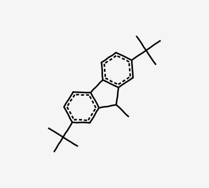 CC1c2cc(C(C)(C)C)ccc2-c2ccc(C(C)(C)C)cc21